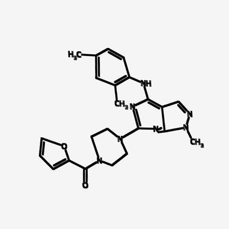 Cc1ccc(Nc2nc(N3CCN(C(=O)c4ccco4)CC3)nc3c2cnn3C)c(C)c1